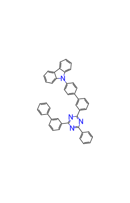 c1ccc(-c2cccc(-c3nc(-c4ccccc4)nc(-c4cccc(-c5ccc(-n6c7ccccc7c7ccccc76)cc5)c4)n3)c2)cc1